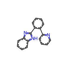 c1ccc(-c2ccccc2-c2nc3ccccc3[nH]2)nc1